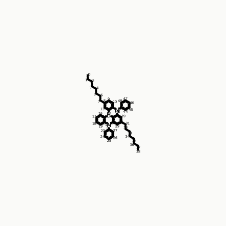 CCCCCCCCc1ccc2c(c1)B1c3ccccc3N(c3ccccc3)c3cc(CCCCCCCC)cc(c31)N2c1ccccc1